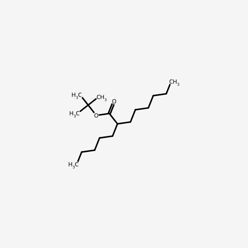 CCCCCCC(CCCCC)C(=O)OC(C)(C)C